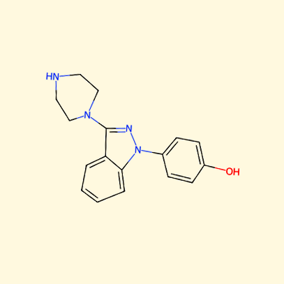 Oc1ccc(-n2nc(N3CCNCC3)c3ccccc32)cc1